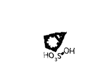 O=S(=O)(O)O.c1cc2cc-2c1